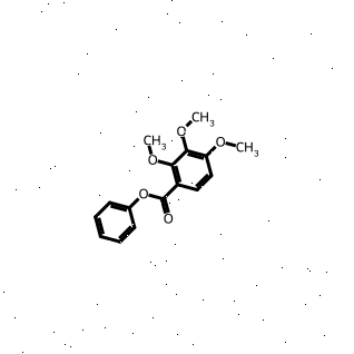 COc1ccc(C(=O)Oc2ccccc2)c(OC)c1OC